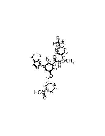 CCc1cnc(-c2cc(OC[C@H]3CN(C(=O)O)CCO3)cc(C(=O)N[C@H](C)c3cnc(C(F)(F)F)nc3)c2F)s1